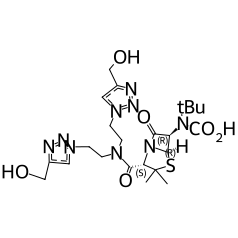 CC1(C)S[C@@H]2[C@H](N(C(=O)O)C(C)(C)C)C(=O)N2[C@H]1C(=O)N(CCn1cc(CO)nn1)CCn1cc(CO)nn1